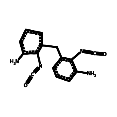 Nc1cccc(Cc2cccc(N)c2N=C=O)c1N=C=O